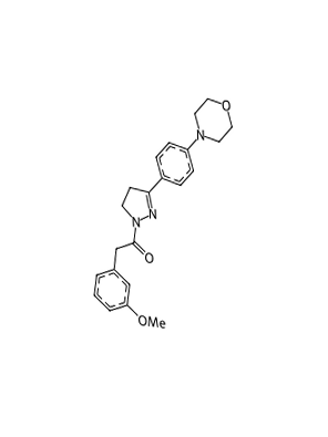 COc1cccc(CC(=O)N2CCC(c3ccc(N4CCOCC4)cc3)=N2)c1